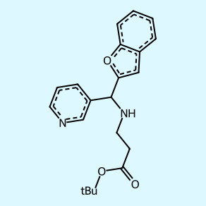 CC(C)(C)OC(=O)CCNC(c1cccnc1)c1cc2ccccc2o1